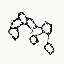 c1ccc(-c2ccnc(-c3cc4ccc5oc6ccccc6c5c4[nH]3)c2-c2ccccc2)cc1